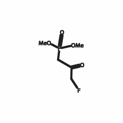 COP(=O)(CC(=O)CF)OC